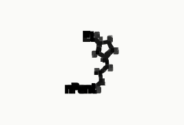 CCCCCCCCC1=CCC(CC)=C1